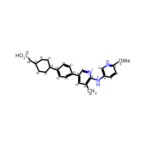 COc1ccc(Nc2ncc(-c3ccc(C4CCC(CC(=O)O)CC4)cc3)cc2C)cn1